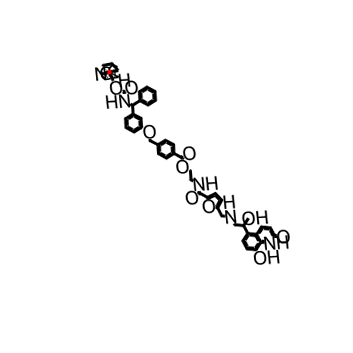 O=C(NC(c1ccccc1)c1cccc(OCc2ccc(C(=O)OCCNC(=O)c3ccc(CNCC(O)c4ccc(O)c5[nH]c(=O)ccc45)o3)cc2)c1)O[C@H]1CN2CCC1CC2